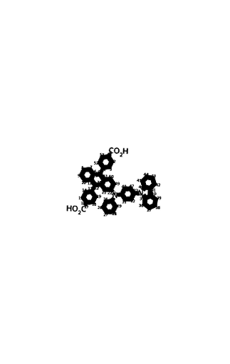 O=C(O)c1ccc(-c2c3ccccc3c(-c3ccc(C(=O)O)cc3)c3cc(N(c4ccccc4)c4ccc(-n5c6ccccc6c6ccccc65)cc4)ccc23)cc1